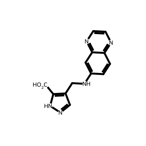 O=C(O)c1[nH]ncc1CNc1ccc2nccnc2c1